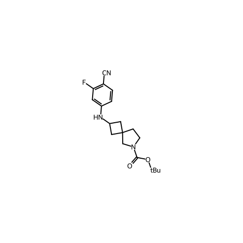 CC(C)(C)OC(=O)N1CCC2(CC(Nc3ccc(C#N)c(F)c3)C2)C1